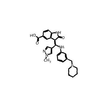 Cn1cc(/C(Nc2cccc(CN3CCCCC3)c2)=C2/C(=O)Nc3ccc(C(=O)O)cc32)cn1